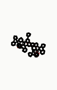 c1ccc(-c2cc(-c3ccccc3)cc(N(c3cccc(C4(c5ccccc5)c5ccccc5-c5ccccc54)c3)c3c(-c4cccc(-c5ccc(N(c6ccccc6)c6c(-c7ccccc7)c7ccccc7c7ccccc67)c(-n6c7ccccc7c7ccccc76)c5)c4)c4ccccc4c4ccccc34)c2)cc1